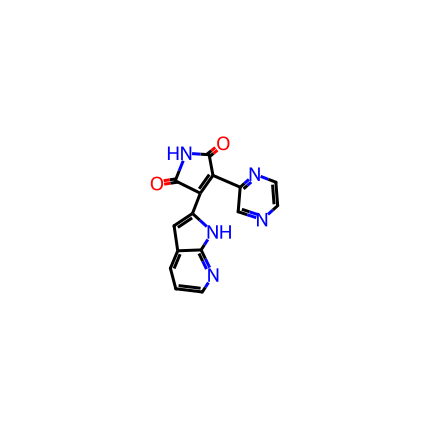 O=C1NC(=O)C(c2cc3cccnc3[nH]2)=C1c1cnccn1